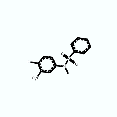 CN(c1ccc(Cl)c([N+](=O)[O-])c1)S(=O)(=O)c1ccccc1